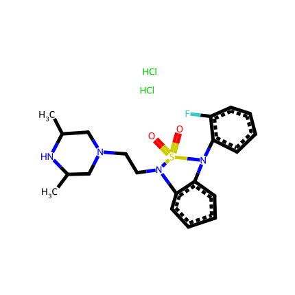 CC1CN(CCN2c3ccccc3N(c3ccccc3F)S2(=O)=O)CC(C)N1.Cl.Cl